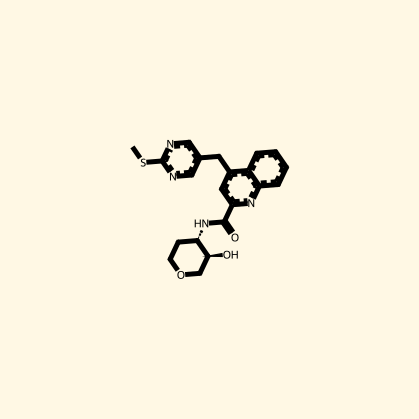 CSc1ncc(Cc2cc(C(=O)N[C@H]3CCOC[C@@H]3O)nc3ccccc23)cn1